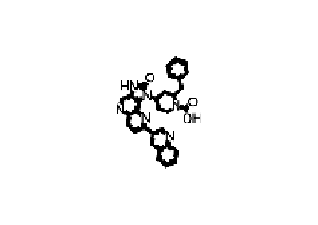 O=C(O)N1CCC(n2c(=O)[nH]c3cnc4ccc(-c5cnc6ccccc6c5)nc4c32)CC1Cc1ccccc1